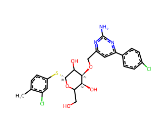 Cc1ccc(S[C@H]2OC(CO)[C@H](O)[C@H](OCc3cc(-c4ccc(Cl)cc4)nc(N)n3)C2O)cc1Cl